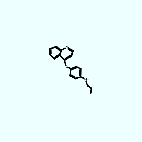 ClCCNc1ccc(Oc2ccnc3ccccc23)cc1